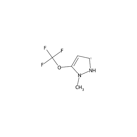 CN1N[C]C=C1OC(F)(F)F